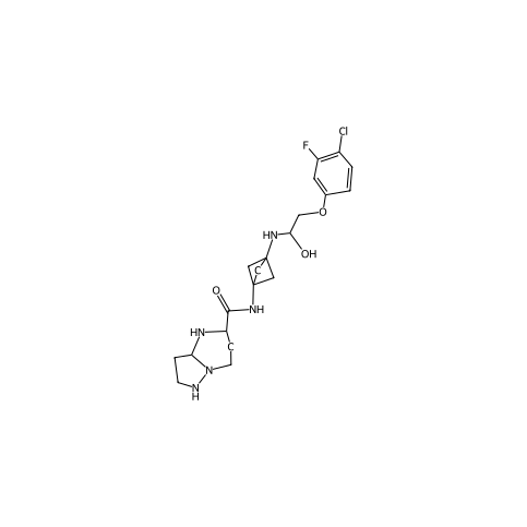 O=C(NC12CC(NC(O)COc3ccc(Cl)c(F)c3)(C1)C2)C1CCN2NCCC2N1